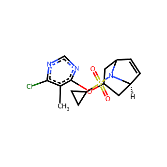 Cc1c(Cl)ncnc1OC1CC2C=C[C@@H](C1)N2S(=O)(=O)C1CC1